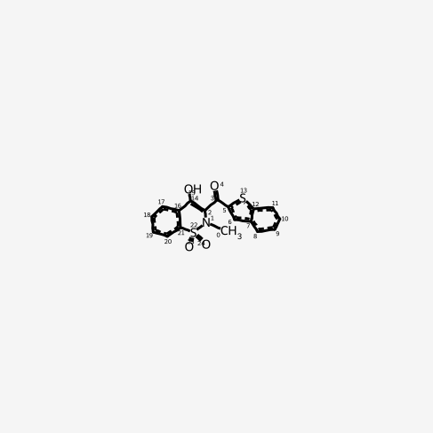 CN1C(C(=O)c2cc3ccccc3s2)=C(O)c2ccccc2S1(=O)=O